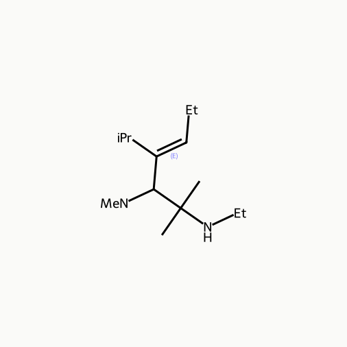 CC/C=C(\C(C)C)C(NC)C(C)(C)NCC